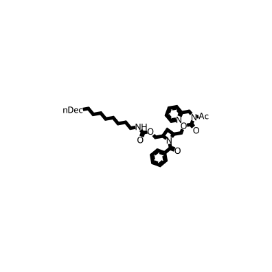 CCCCCCCCCCCCCCCCCCNC(=O)OCC1CC(COC(=O)N(Cc2ccccn2)C(C)=O)N1C(=O)c1ccccc1